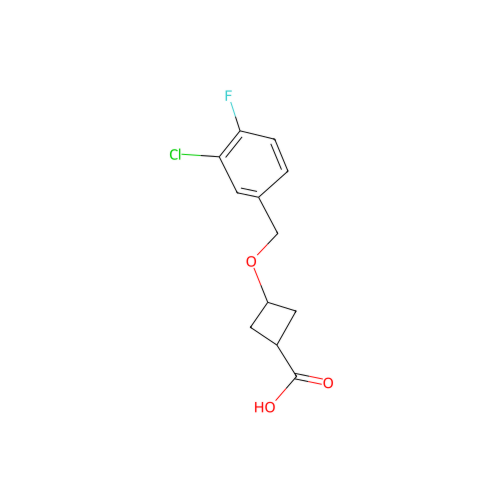 O=C(O)C1CC(OCc2ccc(F)c(Cl)c2)C1